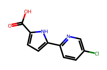 O=C(O)c1ccc(-c2ccc(Cl)cn2)[nH]1